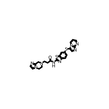 O=C(CCN1CCn2ccnc2C1)Nc1nc2ccc(Sc3cnc4ncccn34)cc2s1